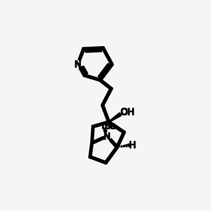 CC(C)(C)N1C2CC[C@@H]1C[C@@](O)(CCc1cccnc1)C2